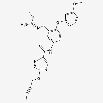 CC#CCOc1cnc(C(=O)Nc2ccc(Oc3cccc(OC)c3)c(C/N=C(/N)SC)c2)cn1